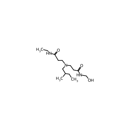 CCNC(=O)CCN(CCC(=O)NCO)CC(C)CC